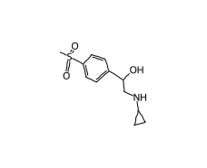 CS(=O)(=O)c1ccc(C(O)CNC2CC2)cc1